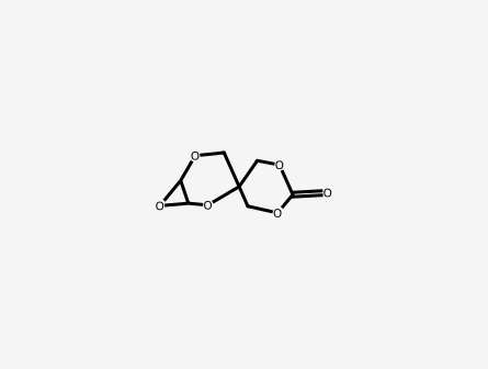 O=C1OCC2(CO1)COC1OC1O2